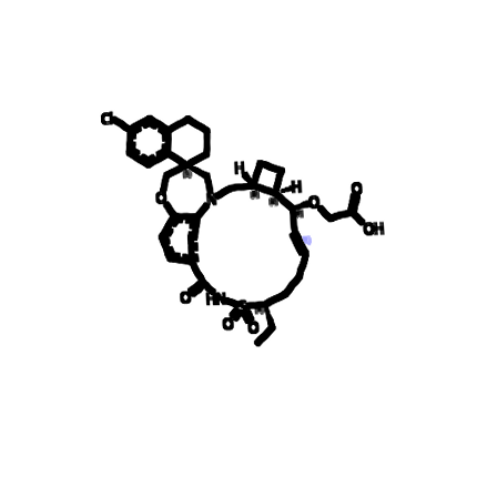 CC[C@@H]1CC/C=C/[C@H](OCC(=O)O)[C@@H]2CC[C@H]2CN2C[C@@]3(CCCc4cc(Cl)ccc43)COc3ccc(cc32)C(=O)NS1(=O)=O